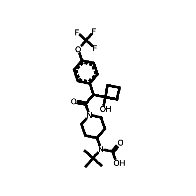 CC(C)(C)N(C(=O)O)C1CCN(C(=O)C(c2ccc(OC(F)(F)F)cc2)C2(O)CCC2)CC1